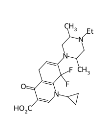 CCN1CC(C)N(C2=CCc3c(n(C4CC4)cc(C(=O)O)c3=O)C2(F)F)CC1C